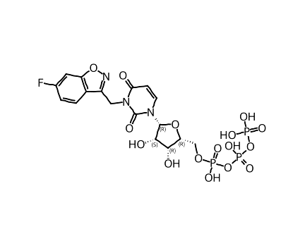 O=c1ccn([C@@H]2O[C@H](COP(=O)(O)OP(=O)(O)OP(=O)(O)O)[C@H](O)[C@@H]2O)c(=O)n1Cc1noc2cc(F)ccc12